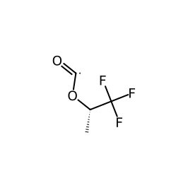 C[C@H](O[C]=O)C(F)(F)F